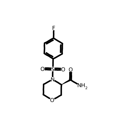 NC(=O)[C@H]1COCCN1S(=O)(=O)c1ccc(F)cc1